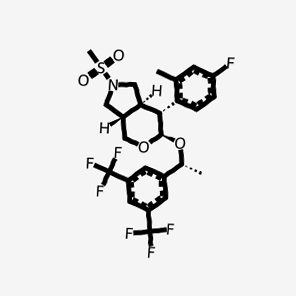 Cc1cc(F)ccc1[C@@H]1[C@@H](O[C@H](C)c2cc(C(F)(F)F)cc(C(F)(F)F)c2)OC[C@@H]2CN(S(C)(=O)=O)C[C@H]21